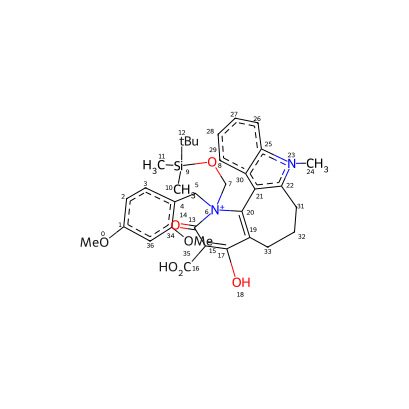 COc1ccc(C[N+]2(CO[Si](C)(C)C(C)(C)C)C(=O)C(C(=O)O)=C(O)C3=C2c2c(n(C)c4ccccc24)CCC3)c(OC)c1